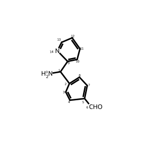 NC(c1ccc(C=O)cc1)c1ccccn1